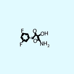 NC1=C(O)C(=O)[C@@H](c2cc(F)cc(F)c2)O1